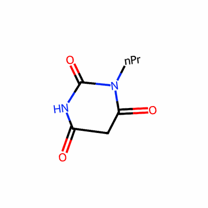 [CH2]CCN1C(=O)CC(=O)NC1=O